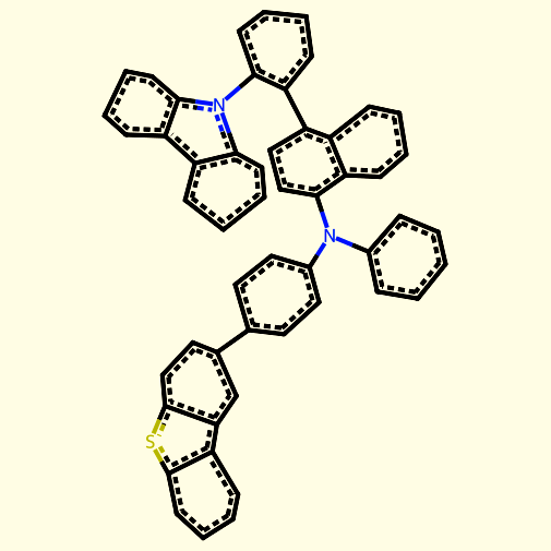 c1ccc(N(c2ccc(-c3ccc4sc5ccccc5c4c3)cc2)c2ccc(-c3ccccc3-n3c4ccccc4c4ccccc43)c3ccccc23)cc1